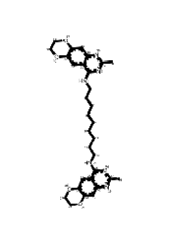 Cc1nc(NCCCCCCCCCNc2nc(C)nc3cc4c(cc23)OCCO4)c2cc3c(cc2n1)OCCO3